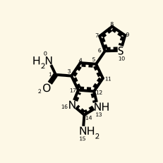 NC(=O)c1cc(-c2cccs2)cc2[nH]c(N)nc12